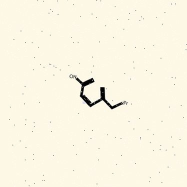 C=C(/C=C\C(=C)N=O)CC(C)C